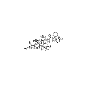 C=CCNC(=O)C(=O)[C@H](CCCC)NC(=O)[C@@H]1[C@@H]2[C@H](CN1C(=O)[C@@H](NC(=O)NC1([C@H]3OCCS3(=O)=O)CCCCC1)C(C)(C)C)C2(C)C